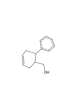 OCC1CC=CCC1c1ccccc1